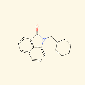 O=C1c2cccc3cccc(c23)N1CC1CCCCC1